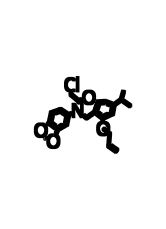 C=CCOc1cc(C(C)C)ccc1CN(C(=O)CCl)c1ccc2c(c1)OCO2